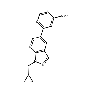 CNc1cc(-c2cnc3c(cnn3CC3CC3)c2)ncn1